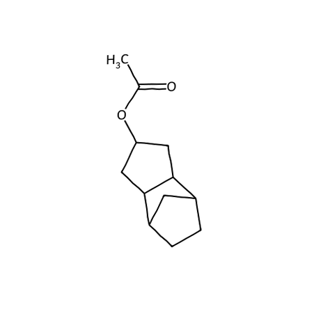 CC(=O)OC1CC2C3CCC(C3)C2C1